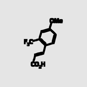 COc1ccc(C=CC(=O)O)c(C(F)(F)F)c1